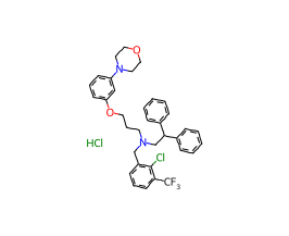 Cl.FC(F)(F)c1cccc(CN(CCCOc2cccc(N3CCOCC3)c2)CC(c2ccccc2)c2ccccc2)c1Cl